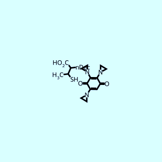 CCCCCCCCCCC(C(=O)O)C(C)S.O=C1C=C(N2CC2)C(=O)C(N2CC2)=C1N1CC1